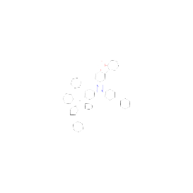 c1ccc(-c2ccc(N(c3ccc4c(c3)-c3ccccc3-c3ccccc3C43c4ccccc4-c4c3ccc3c4-c4ccccc4C3)c3ccc4oc5ccccc5c4c3)cc2)cc1